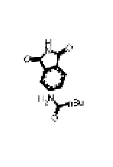 CCCCC(N)=O.O=C1NC(=O)c2ccccc21